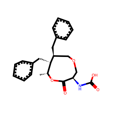 C[C@H]1OC(=O)[C@H](NC(=O)O)COC[C@H](Cc2ccccc2)[C@H]1Cc1ccccc1